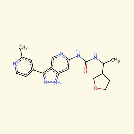 Cc1cc(-c2n[nH]c3cc(NC(=O)NC(C)C4CCOC4)ncc23)ccn1